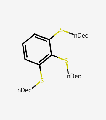 CCCCCCCCCCSc1c[c]cc(SCCCCCCCCCC)c1SCCCCCCCCCC